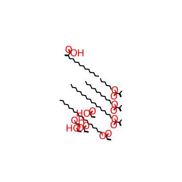 C=C(C)C(=O)OCCCCCC.C=C(C)C(=O)OCCCCCCCCCCCC.C=C(C)C(=O)OCCCCCCCCCCCCCCCCCC.C=C(CCCCCCCCCCCC)C(=O)O.C=CC(=O)O.C=CC(=O)OCCCCCCCCCCCCCCCCCC.C=CC(=O)OCCO.[CH2]CO